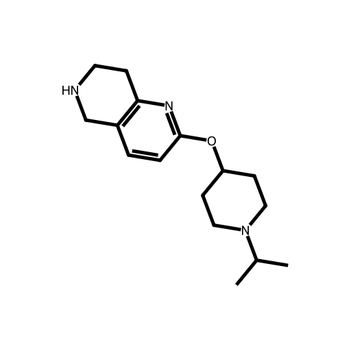 CC(C)N1CCC(Oc2ccc3c(n2)CCNC3)CC1